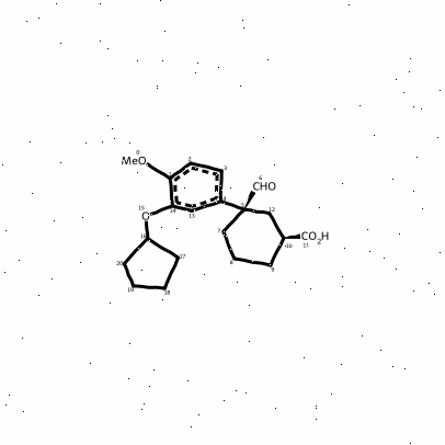 COc1ccc([C@@]2(C=O)CCC[C@H](C(=O)O)C2)cc1OC1CCCC1